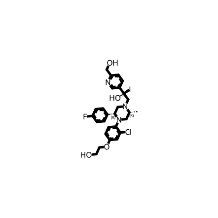 C[C@@H]1CN(c2ccc(OCCO)cc2Cl)[C@H](c2ccc(F)cc2)CN1C[C@](O)(I)c1ccc(CO)nc1